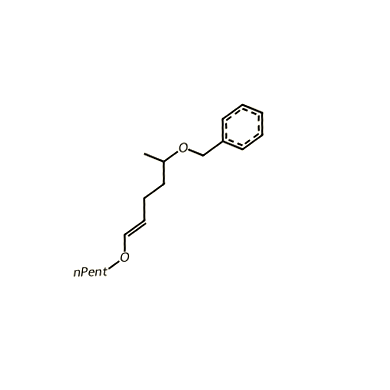 CCCCCOC=CCCC(C)OCc1ccccc1